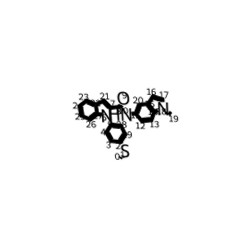 CSc1ccc(-n2c(C(=O)Nc3ccc4c(ccn4C)c3)cc3ccccc32)cc1